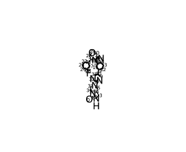 O=C1NCC2CN(c3ncc(-c4ccc5nc6n(c5c4)C(c4cccc(F)c4)COC6)cn3)CCN12